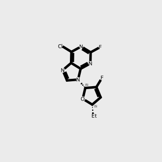 CC[C@H]1C=C(F)[C@@H](n2cnc3c(Cl)nc(F)nc32)O1